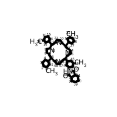 Cc1cccc(C2=C3C=CC(=N3)C(c3cccc(C)c3)=C3C=CC(=N3)C(c3cccc(C)c3)=C3C=CC(=N3)C(c3cccc(C)c3)=C3C=CC2=N3)c1.O=C1NC(=O)c2ccccc21